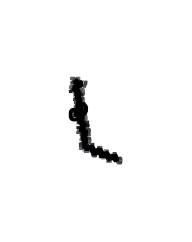 CCCCCCCC/C=C\CCCCCCCC(=O)OCCCCCC(C)C